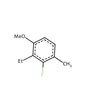 CCc1c(OC)ccc(C)c1F